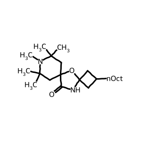 CCCCCCCCC1CC2(C1)NC(=O)C1(CC(C)(C)N(C)C(C)(C)C1)O2